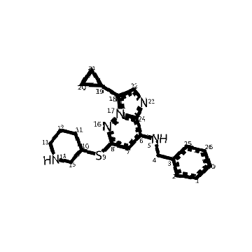 c1ccc(CNc2cc(SC3CCCNC3)nn3c(C4CC4)cnc23)cc1